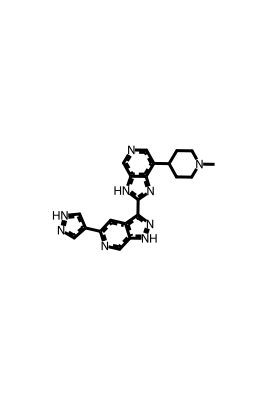 CN1CCC(c2cncc3[nH]c(-c4n[nH]c5cnc(-c6cn[nH]c6)cc45)nc23)CC1